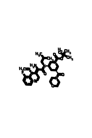 C=NN(/C(CBr)=C(\N)C(=O)N(CC(C)C)[C@H]1C[C@@H](C(=O)N2CCOCC2)CN(C(=O)OC(C)(C)C)C1)c1ccccc1F